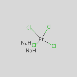 [Cl][Pt]([Cl])([Cl])[Cl].[NaH].[NaH]